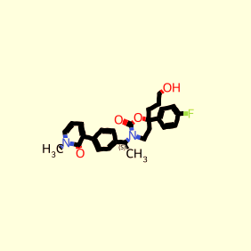 C[C@@H](c1ccc(-c2cccn(C)c2=O)cc1)N1CCC(CCCO)(c2ccc(F)cc2)OC1=O